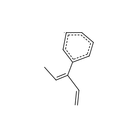 C=C/C(=C/C)c1c[c]ccc1